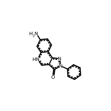 Nc1ccc2c3nn(-c4ccccc4)c(=O)c-3c[nH]c2c1